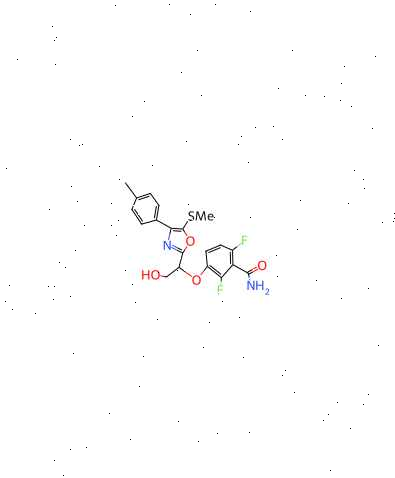 CSc1oc(C(CO)Oc2ccc(F)c(C(N)=O)c2F)nc1-c1ccc(C)cc1